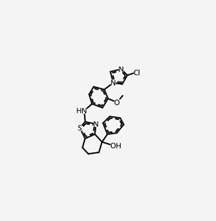 COc1cc(Nc2nc3c(s2)CCCC3(O)c2ccccc2)ccc1-n1cnc(Cl)c1